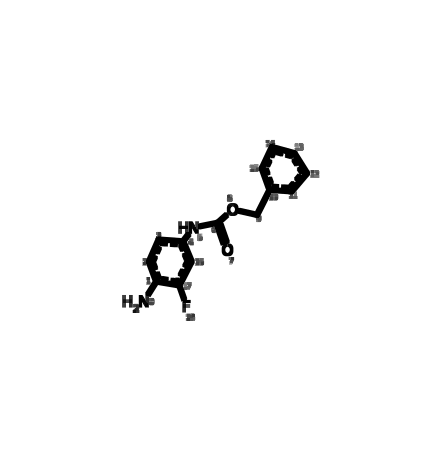 Nc1ccc(NC(=O)OCc2ccccc2)cc1F